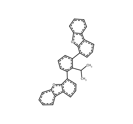 CC(C)c1c(-c2cccc3c2oc2ccccc23)cccc1-c1cccc2c1oc1ccccc12